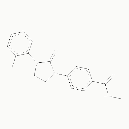 CNC(=O)c1ccc(N2CCN(c3cnccc3C)C2=O)cc1